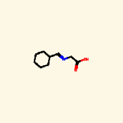 O=C(O)CN=CC1CCCCC1